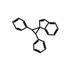 C1=CC2(c3ccccc31)C(c1ccccc1)C2c1ccccc1